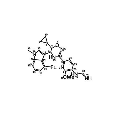 COc1nc(C2=NOC(C3CC3)C(c3cn(C)c4nccc(F)c34)N2)ccc1NC=N